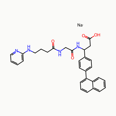 O=C(O)CC(NC(=O)CNC(=O)CCCNc1ccccn1)c1ccc(-c2cccc3ccccc23)cc1.[Na]